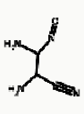 N#CC(N)C(N)N=O